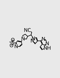 CS(=O)(=O)c1cc(N2CCC(C(CC#N)n3cc(-c4ncnc5[nH]ccc45)cn3)C2)ccn1